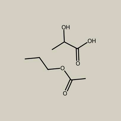 CC(O)C(=O)O.CCCOC(C)=O